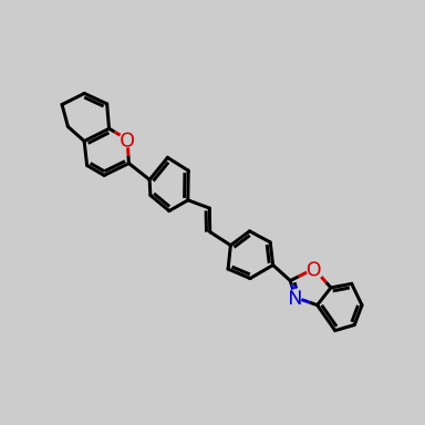 C1=CC2=C(C=CCC2)OC=1c1ccc(C=Cc2ccc(-c3nc4ccccc4o3)cc2)cc1